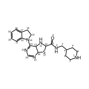 O=C(NCC1CCNCC1)C1NC2C(N3CCc4ccccc43)=NC=NC2S1